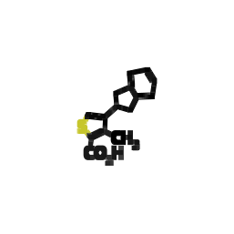 Cc1c(C2Cc3ccccc3C2)csc1C(=O)O